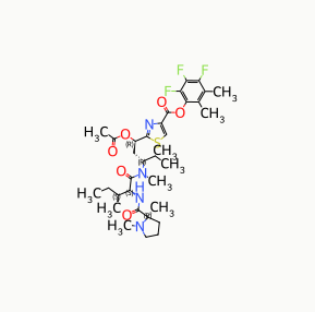 CC[C@H](C)[C@H](NC(=O)[C@@]1(C)CCCN1C)C(=O)N(C)[C@H](C[C@@H](OC(C)=O)c1nc(C(=O)Oc2c(C)c(C)c(F)c(F)c2F)cs1)C(C)C